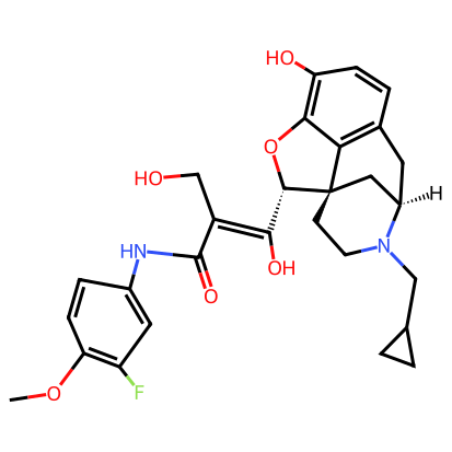 COc1ccc(NC(=O)/C(CO)=C(\O)[C@@H]2Oc3c(O)ccc4c3[C@@]23CCN(CC2CC2)[C@H](C4)C3)cc1F